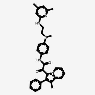 Cc1cc(C)nc(NCCN(C)c2ccc(NC(=O)C(=O)c3c(-c4ccccc4)c(C)c4ccccn34)cc2)c1